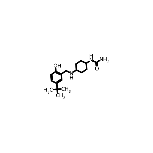 CC(C)(C)c1ccc(O)c(CNC2CCC(NC(N)=O)CC2)c1